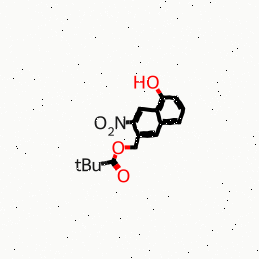 CC(C)(C)C(=O)OCc1cc2cccc(O)c2cc1[N+](=O)[O-]